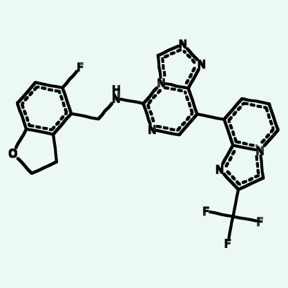 Fc1ccc2c(c1CNc1ncc(-c3cccn4cc(C(F)(F)F)nc34)c3nncn13)CCO2